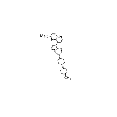 COc1ccc2nccc(-c3cnn4cc(N5CCC(N6CCN(C)CC6)CC5)cnc34)c2n1